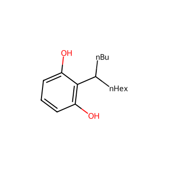 CCCCCCC(CCCC)c1c(O)cccc1O